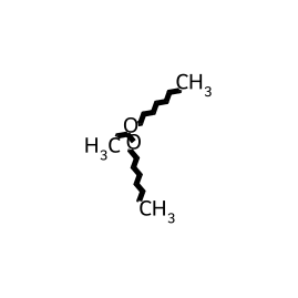 CCCCCCCCOC(CC)OCCCCCCCC